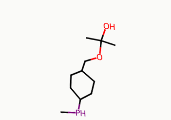 CPC1CCC(COC(C)(C)O)CC1